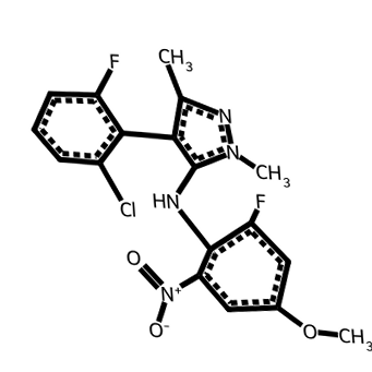 COc1cc(F)c(Nc2c(-c3c(F)cccc3Cl)c(C)nn2C)c([N+](=O)[O-])c1